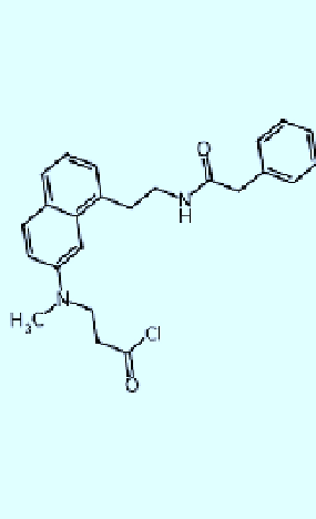 CN(CCC(=O)Cl)c1ccc2cccc(CCNC(=O)Cc3ccccc3)c2c1